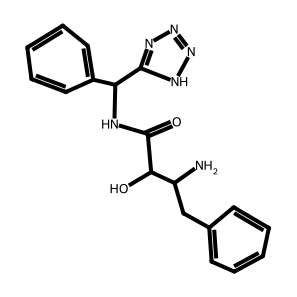 NC(Cc1ccccc1)C(O)C(=O)NC(c1ccccc1)c1nnn[nH]1